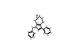 c1ccc(Cn2cc(-c3ccccc3)c3c2CNCCC3)cc1